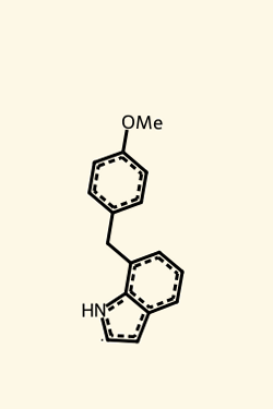 COc1ccc(Cc2cccc3c[c][nH]c23)cc1